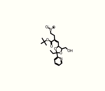 CCC1(c2ccccn2)OC(C=C(CC[N+](=O)[O-])C(=O)OC(C)(C)C)C(CO)O1